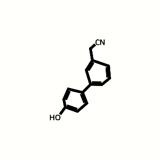 N#CCc1cccc(-c2ccc(O)cc2)c1